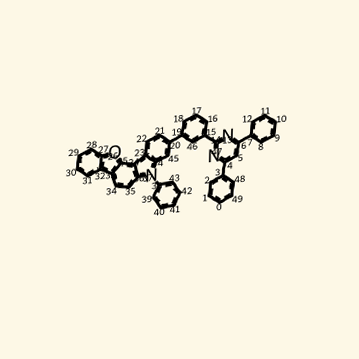 c1ccc(-c2cc(-c3ccccc3)nc(-c3cccc(-c4ccc5c6c7oc8ccccc8c7ccc6n(-c6ccccc6)c5c4)c3)n2)cc1